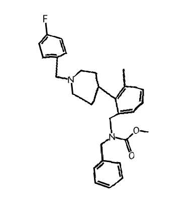 COC(=O)N(Cc1ccccc1)Cc1cccc(C)c1C1CCN(Cc2ccc(F)cc2)CC1